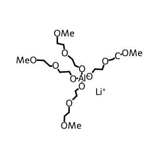 COCCOCC[O][Al-]([O]CCOCCOC)([O]CCOCCOC)[O]CCOCCOC.[Li+]